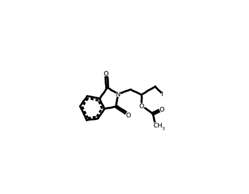 CC(=O)OC(CI)CN1C(=O)c2ccccc2C1=O